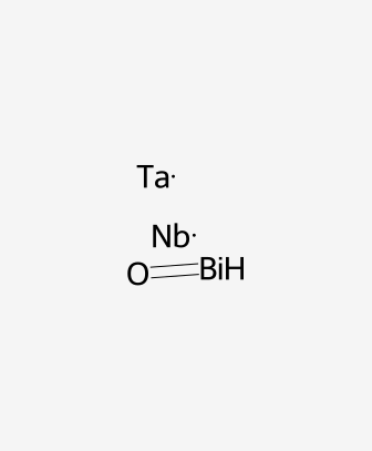 [Nb].[O]=[BiH].[Ta]